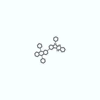 c1ccc(-c2c3ccccc3c(-c3ccccc3)c3cc(-c4ccc5c(c4)c4nc6ccccc6nc4n5-c4ccccc4)ccc23)cc1